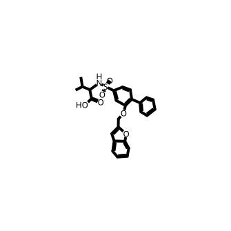 CC(C)C(NS(=O)(=O)c1ccc(-c2ccccc2)c(OCc2cc3ccccc3o2)c1)C(=O)O